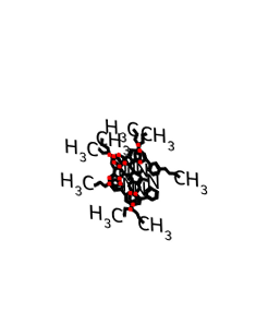 CCCCc1ccc2c(c1)c1ccccc1n2-c1c(C#N)c(-n2c3ccc(CCCC)cc3c3cc(CCCC)ccc32)c(-n2c3ccc(CCCC)cc3c3cc(CCCC)ccc32)c(-n2c3ccc(CCCC)cc3c3cc(CCCC)ccc32)c1-n1c2ccccc2c2cc(CCCC)ccc21